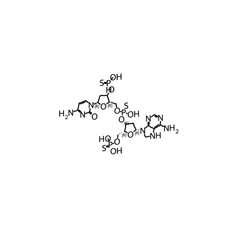 Nc1ccn([C@H]2CC(O[PH](O)=S)[C@@H](COP(O)(=S)O[C@@H]3C[C@H](N4CNc5c(N)ncnc54)O[C@@H]3COP(O)(O)=S)O2)c(=O)n1